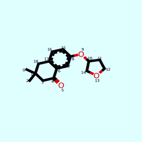 CC1(C)CC(=O)c2cc(OC3CCOC3)ccc2C1